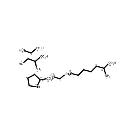 NC(CO)C(=O)O.NCC(=O)O.NCC(=O)O.NCCCCC(N)C(=O)O.O=C(O)[C@@H]1CCCN1